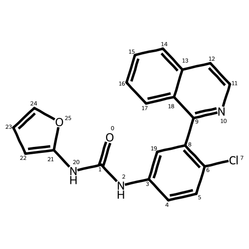 O=C(Nc1ccc(Cl)c(-c2nccc3ccccc23)c1)Nc1ccco1